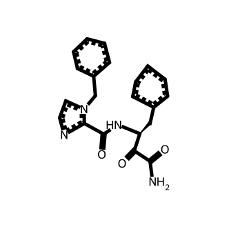 NC(=O)C(=O)[C@H](Cc1ccccc1)NC(=O)c1nccn1Cc1ccccc1